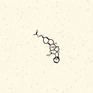 CC(=O)O/N=C1/C=C2CC[C@@H]3C(=C2CC1)CC[C@@]1(C)[C@H]3CC[C@]1(CC#N)N(C(=O)O)c1ccccc1